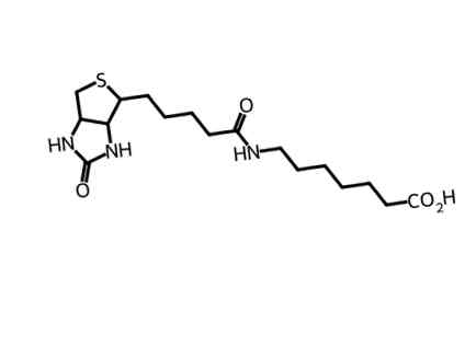 O=C(O)CCCCCCNC(=O)CCCCC1SCC2NC(=O)NC21